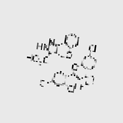 CCC1=C(c2ccc(Cl)cc2Cl)Oc2cc(Cl)ccc2C12CCC2.O=C(O)c1[nH]nc2c1COc1ccccc1-2